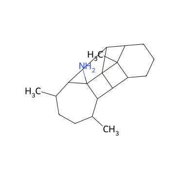 CC1CCC(C)C2C3C4CCCC5C6C1C2(N)C63C54C